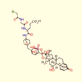 C[C@]12C=CC(=O)C=C1CC[C@@H]1[C@@H]2[C@@H](O)C[C@@]2(C)[C@H]1C[C@H]1OC(c3ccc(CC45CCC(NC(=O)[C@H](CCC(=O)O)NC(=O)CNC(=O)CBr)(CC4)CO5)cc3)O[C@]12C(=O)COP(=O)(O)O